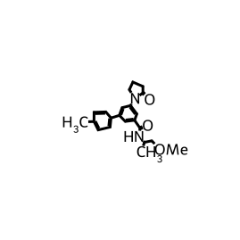 COCC(C)NC(=O)c1cc(-c2ccc(C)cc2)cc(N2CCCC2=O)c1